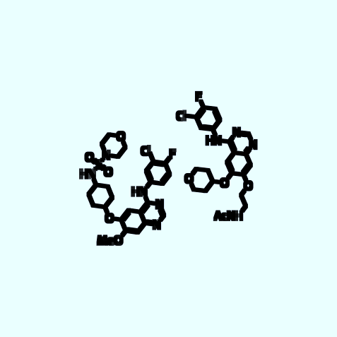 CC(=O)NCCOc1cc2ncnc(Nc3ccc(F)c(Cl)c3)c2cc1OC1CCOCC1.COc1cc2ncnc(Nc3ccc(F)c(Cl)c3)c2cc1OC1CCC(NS(=O)(=O)N2CCOCC2)CC1